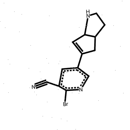 N#Cc1cc(C2=CC3NCCC3C2)cnc1Br